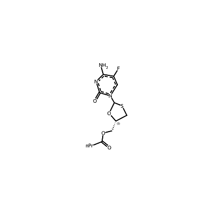 CCCC(=O)OC[C@H]1CSC(n2cc(F)c(N)nc2=O)O1